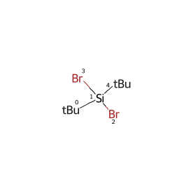 CC(C)(C)[Si](Br)(Br)C(C)(C)C